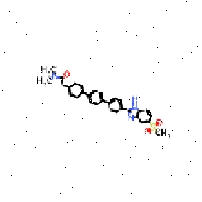 CN(C)C(=O)CC1CCC(c2ccc(-c3ccc(-c4nc5cc(S(C)(=O)=O)ccc5[nH]4)cc3)cc2)CC1